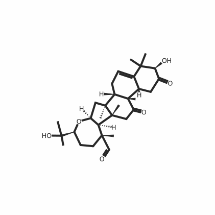 CC(C)(O)[C@@H]1CC[C@@](C)(C=O)[C@H]2[C@H](C[C@@]3(C)[C@@H]4CC=C5[C@@H](CC(=O)[C@H](O)C5(C)C)[C@]4(C)C(=O)C[C@]23C)O1